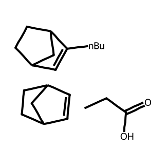 C1=CC2CCC1C2.CCC(=O)O.CCCCC1=CC2CCC1C2